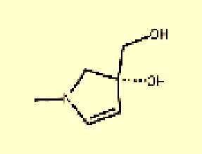 CN1C=C[C@](O)(CO)C1